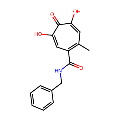 Cc1cc(O)c(=O)c(O)cc1C(=O)NCc1ccccc1